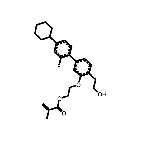 C=C(C)C(=O)OCCOc1cc(-c2ccc(C3CCCCC3)cc2F)ccc1CCO